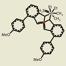 C[CH2][Hf]([CH3])([CH3])(=[SiH2])([CH2]C)([CH]1C=Cc2c(-c3ccc(OC)cc3)cccc21)[CH]1C=Cc2c(-c3ccc(OC)cc3)cccc21